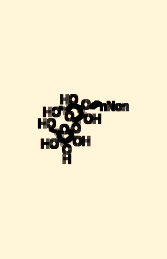 CCCCCCCCCC=CO[C@@H]1[C@@H](O)[C@@H](O[C@H]2O[C@H](CO)[C@@H](O)[C@H](O)[C@H]2O)O[C@H](CO)[C@H]1O